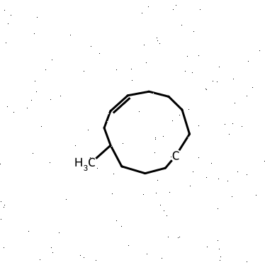 CC1CC=CCCCCCCCC1